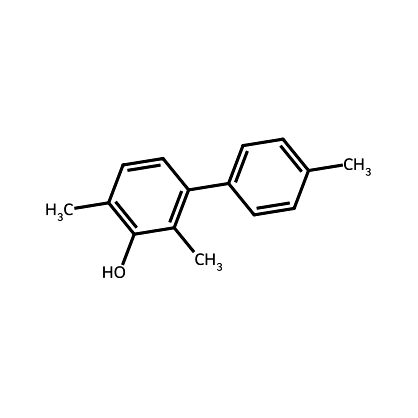 Cc1ccc(-c2ccc(C)c(O)c2C)cc1